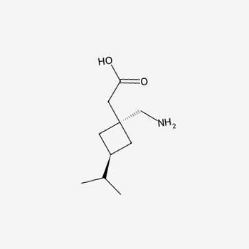 CC(C)[C@H]1C[C@@](CN)(CC(=O)O)C1